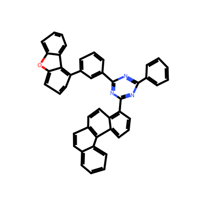 c1ccc(-c2nc(-c3cccc(-c4cccc5oc6ccccc6c45)c3)nc(-c3cccc4c3ccc3ccc5ccccc5c34)n2)cc1